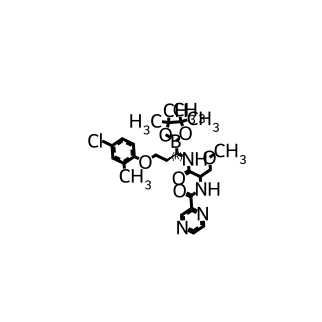 COCC(NC(=O)c1cnccn1)C(=O)N[C@@H](CCOc1ccc(Cl)cc1C)B1OC(C)(C)C(C)(C)O1